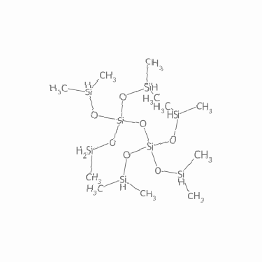 C[SiH2]O[Si](O[SiH](C)C)(O[SiH](C)C)O[Si](O[SiH](C)C)(O[SiH](C)C)O[SiH](C)C